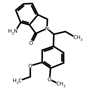 CCOc1cc(C(CC)N2Cc3cccc(N)c3C2=O)ccc1OC